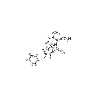 CC1=C(C(=O)O)N2C(=O)[C@@H](NC(=O)Cc3ccccc3)[C@@H]2SC1